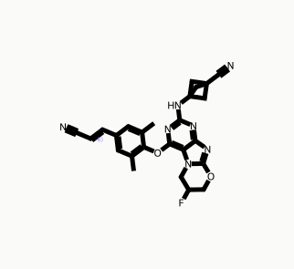 Cc1cc(/C=C/C#N)cc(C)c1Oc1nc(NC23CC(C#N)(C2)C3)nc2nc3n(c12)CC(F)CO3